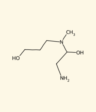 CN(CCCO)C(O)CN